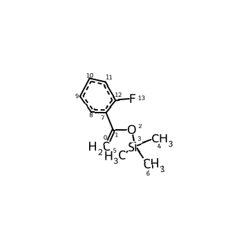 C=C(O[Si](C)(C)C)c1ccccc1F